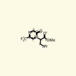 COC(=O)C(CC(C)C)n1cc(C(F)(F)F)ncc1=O